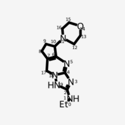 CCNC1=NC2=NC3=C(CCC3N3CCOCC3)CN2N1